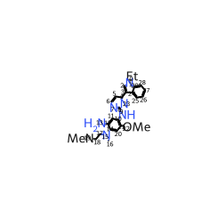 CCn1cc(-c2ccnc(Nc3cc(N)c(N(C)CCNC)cc3OC)n2)c2ccccc21